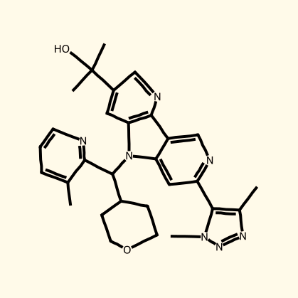 Cc1cccnc1C(C1CCOCC1)n1c2cc(-c3c(C)nnn3C)ncc2c2ncc(C(C)(C)O)cc21